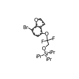 CC(C)[Si](OCC(F)(F)Oc1ccc(Br)c2occc12)(C(C)C)C(C)C